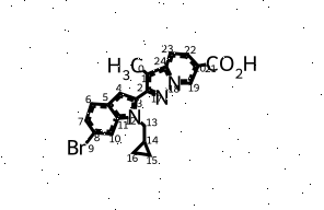 Cc1c(-c2cc3ccc(Br)cc3n2CC2CC2)nn2cc(C(=O)O)ccc12